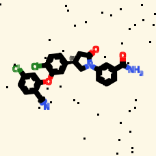 N#Cc1ccc(Cl)cc1Oc1cc([C@H]2CC(=O)N(c3cccc(C(N)=O)c3)C2)ccc1Cl